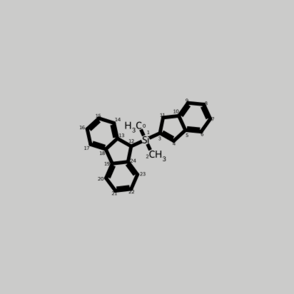 C[Si](C)(C1=Cc2ccccc2C1)C1c2ccccc2-c2ccccc21